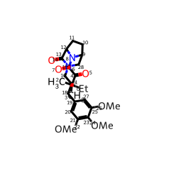 CCC(C)(C)C(=O)C(=O)N1C2CCC1C(=O)N(CCCc1cc(OC)c(OC)c(OC)c1)C2